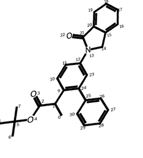 CC(C(=O)OC(C)(C)C)c1ccc(N2Cc3ccccc3C2=O)cc1-c1ccccc1